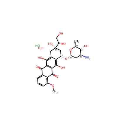 COc1cccc2c1C(=O)c1c(O)c3c(c(O)c1C2=O)C[C@@](O)(C(=O)CO)C[C@@H]3O[C@H]1C[C@H](N)[C@@H](O)[C@H](C)O1.Cl.O